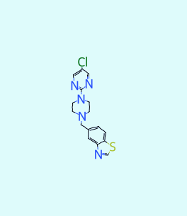 Clc1cnc(N2CCN(Cc3ccc4scnc4c3)CC2)nc1